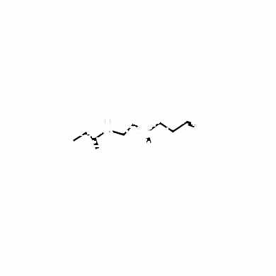 CCC(=O)NCC[PH](=O)CCC=O